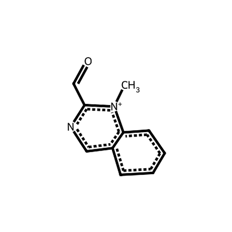 C[n+]1c(C=O)ncc2ccccc21